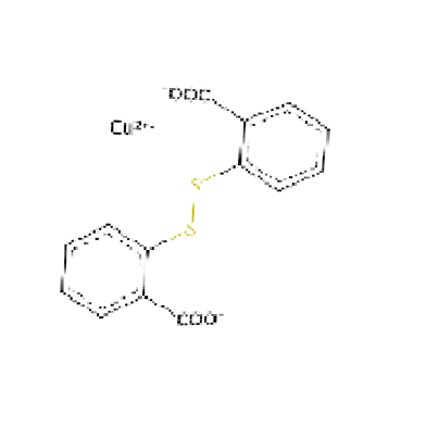 O=C([O-])c1ccccc1SSc1ccccc1C(=O)[O-].[Cu+2]